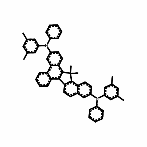 Cc1cc(C)cc(N(c2ccccc2)c2ccc3c4c(ccc3c2)-c2c(c3ccc(N(c5ccccc5)c5cc(C)cc(C)c5)cc3c3ccccc23)C4(C)C)c1